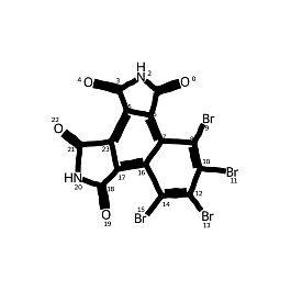 O=c1[nH]c(=O)c2c1c1c(Br)c(Br)c(Br)c(Br)c1c1c(=O)[nH]c(=O)c12